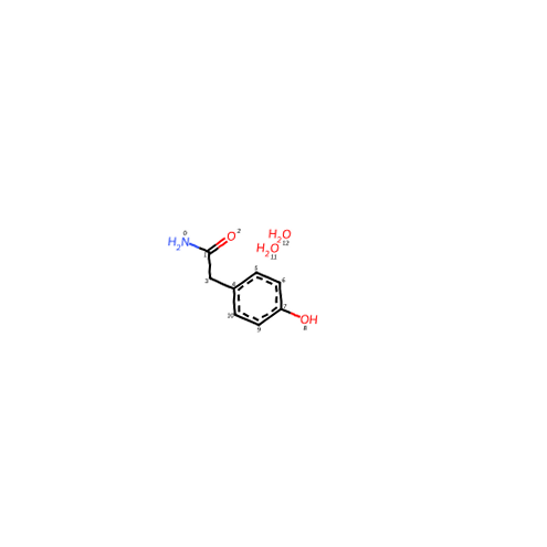 NC(=O)Cc1ccc(O)cc1.O.O